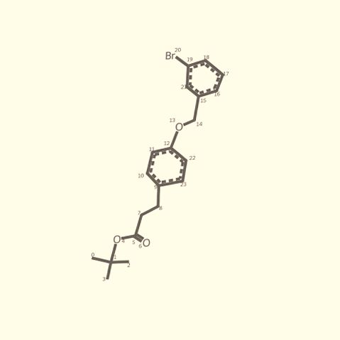 CC(C)(C)OC(=O)CCc1ccc(OCc2cccc(Br)c2)cc1